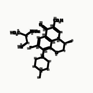 CC(=O)NC(CS)C(=O)O.C[C@H]1COc2c(N3CCN(C)CC3)c(F)cc3c(=O)c(C(=O)O)cn1c23